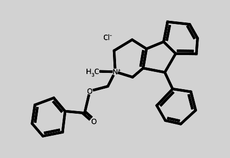 C[N+]1(COC(=O)c2ccccc2)CCC2=C(C1)C(c1ccccc1)c1ccccc12.[Cl-]